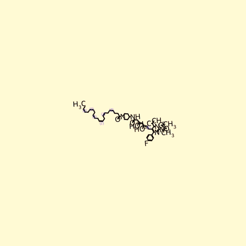 CC/C=C\C/C=C\C/C=C\C/C=C\C/C=C\C/C=C\CCC(=O)N1CCC(NC(=O)C[C@H](O)C[C@H](O)/C=C/c2c(-c3ccc(F)cc3)nc(N(C)S(C)(=O)=O)nc2C(C)C)CC1